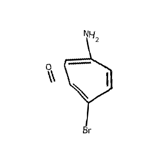 C=O.Nc1ccc(Br)cc1